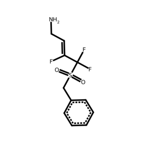 NC/C=C(\F)C(F)(F)S(=O)(=O)Cc1ccccc1